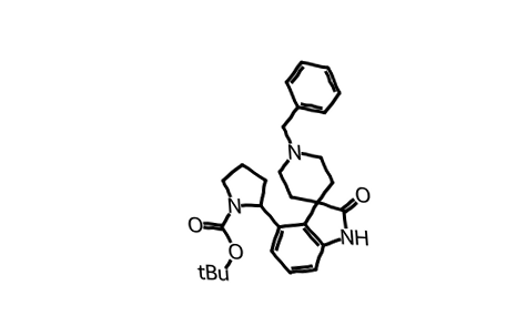 CC(C)(C)OC(=O)N1CCCC1c1cccc2c1C1(CCN(Cc3ccccc3)CC1)C(=O)N2